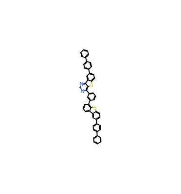 c1ccc(-c2ccc(-c3ccc4sc5c(-c6cccc(-c7ncnc8c7sc7ccc(-c9ccc(-c%10ccccc%10)cc9)cc78)c6)cccc5c4c3)cc2)cc1